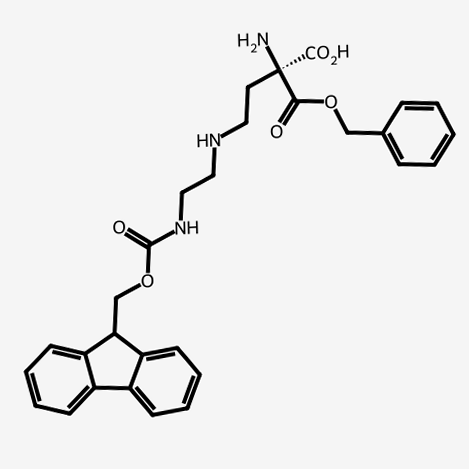 N[C@@](CCNCCNC(=O)OCC1c2ccccc2-c2ccccc21)(C(=O)O)C(=O)OCc1ccccc1